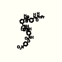 CCCNC(=O)Nc1cccc(S(=O)(=O)Nc2cccc([C@H](CC(=O)O)NC(=O)Nc3ccc(NC(=O)Oc4ccc([N+](=O)[O-])cc4)cc3)c2)c1